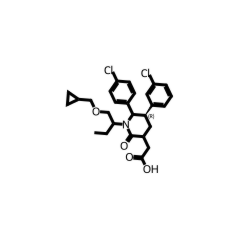 CCC(COCC1CC1)N1C(=O)C(CC(=O)O)C[C@H](c2cccc(Cl)c2)C1c1ccc(Cl)cc1